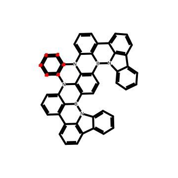 c1ccc(N2c3cccc4c3B(c3ccc5c(c32)N(c2ccccc2)c2cccc3c2B5n2c5ccccc5c5cccc-3c52)n2c3ccccc3c3cccc-4c32)cc1